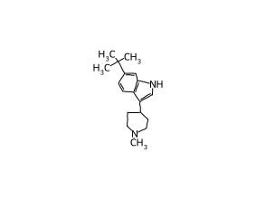 CN1CCC(c2c[nH]c3cc(C(C)(C)C)ccc23)CC1